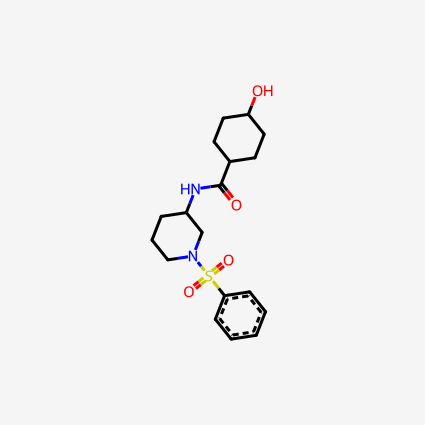 O=C(NC1CCCN(S(=O)(=O)c2ccccc2)C1)C1CCC(O)CC1